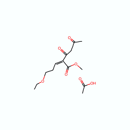 CC(=O)O.CCOCCC=C(C(=O)CC(C)=O)C(=O)OC